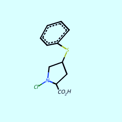 O=C(O)C1CC(Sc2ccccc2)CN1Cl